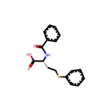 O=C(N[C@H](CCSc1ccccc1)C(=O)O)c1ccccc1